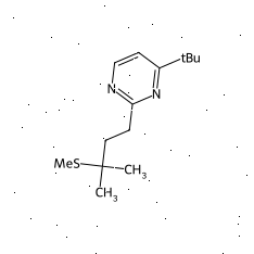 CSC(C)(C)CCc1nccc(C(C)(C)C)n1